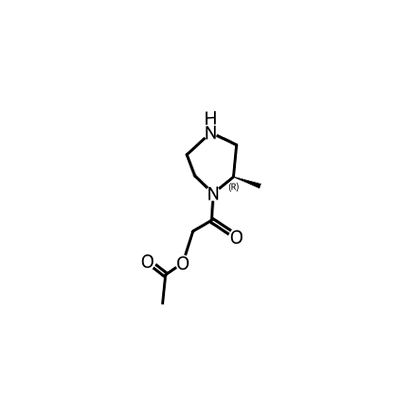 CC(=O)OCC(=O)N1CCNC[C@H]1C